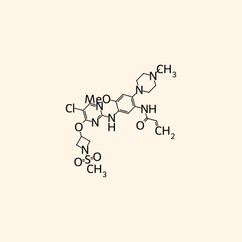 C=CC(=O)Nc1cc(Nc2ncc(Cl)c(OC3CN(S(C)(=O)=O)C3)n2)c(OC)cc1N1CCN(C)CC1